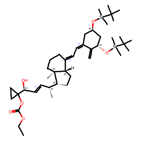 C=C1/C(=C\C=C2/CCC[C@]3(C)[C@@H]([C@H](C)/C=C/[C@H](O)C4(OC(=O)OCC)CC4)CC[C@@H]23)C[C@@H](O[Si](C)(C)C(C)(C)C)C[C@@H]1O[Si](C)(C)C(C)(C)C